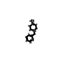 CCN1CCN(Cc2ccccn2)CC1